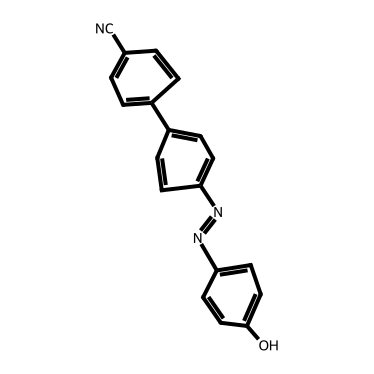 N#Cc1ccc(-c2ccc(/N=N/c3ccc(O)cc3)cc2)cc1